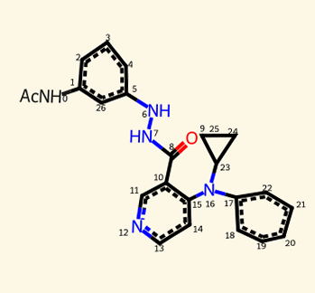 CC(=O)Nc1cccc(NNC(=O)c2cnccc2N(c2ccccc2)C2CC2)c1